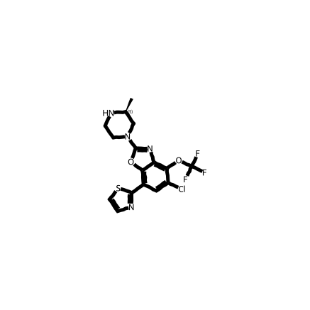 C[C@H]1CN(c2nc3c(OC(F)(F)F)c(Cl)cc(-c4nccs4)c3o2)CCN1